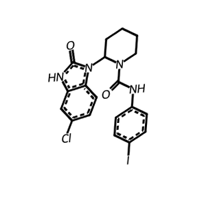 O=C(Nc1ccc(I)cc1)N1CCCCC1n1c(=O)[nH]c2cc(Cl)ccc21